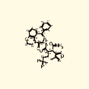 Cc1nocc1[C@H](C(N)=O)[C@@H](CCC(F)(F)F)C(=O)N[C@H]1N=C(c2ccccc2)c2cccc3c2N(CCO3)C1=O